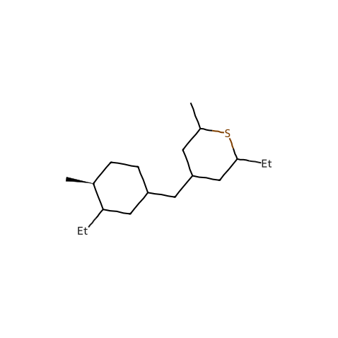 CCC1CC(CC2CC[C@H](C)C(CC)C2)CC(C)S1